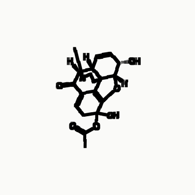 CC(=O)OC1(O)CC=C2C(=O)[C@@H]3[C@@H]4C=C[C@H](O)[C@@H]5OC1=C2[C@]45CCN3C